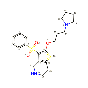 O=S(=O)(c1ccccc1)c1c(OCCCN2CCCC2)sc2c1CNCC2